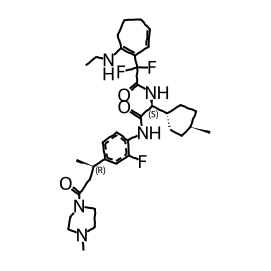 CCNC1=C(C(F)(F)C(=O)N[C@H](C(=O)Nc2ccc([C@H](C)CC(=O)N3CCN(C)CC3)cc2F)[C@H]2CC[C@H](C)CC2)C=CCCC1